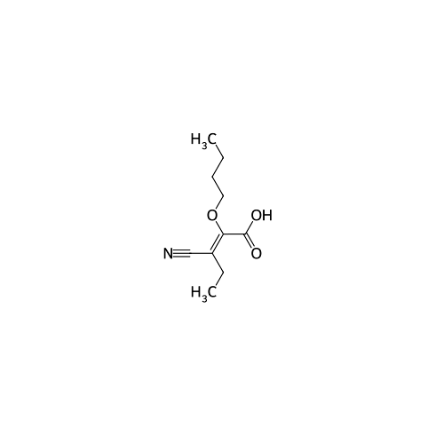 CCCCO/C(C(=O)O)=C(\C#N)CC